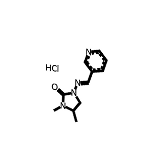 CC1CN(N=Cc2cccnc2)C(=O)N1C.Cl